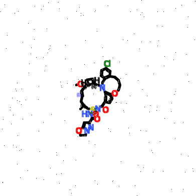 CO[C@H]1/C=C/C[C@H](C)CS(=O)(NC(=O)c2cc3n(n2)CCO3)=NC(=O)c2ccc3c(c2)N(Cc2ccc(Cl)cc2CCCCO3)C[C@@H]2CC[C@H]21